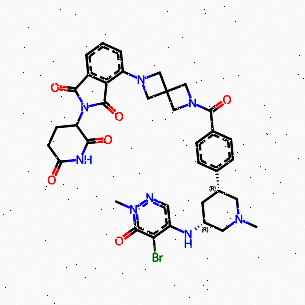 CN1C[C@H](Nc2cnn(C)c(=O)c2Br)C[C@H](c2ccc(C(=O)N3CC4(C3)CN(c3cccc5c3C(=O)N(C3CCC(=O)NC3=O)C5=O)C4)cc2)C1